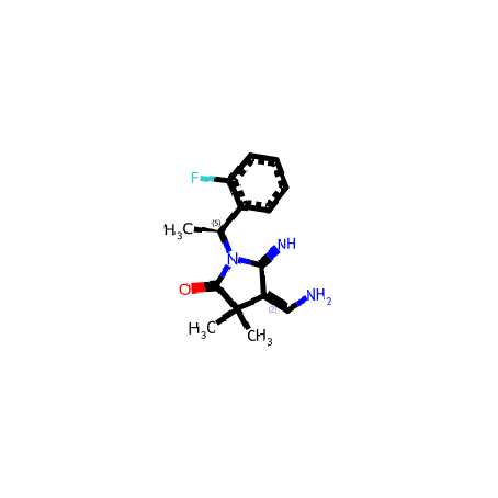 C[C@@H](c1ccccc1F)N1C(=N)/C(=C\N)C(C)(C)C1=O